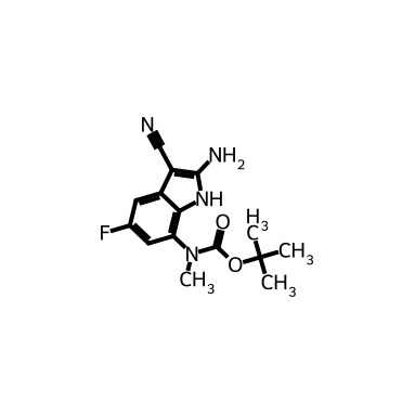 CN(C(=O)OC(C)(C)C)c1cc(F)cc2c(C#N)c(N)[nH]c12